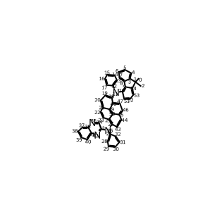 CC1(C)c2ccccc2-c2c(N(c3ccccc3)c3ccc4ccc5c(N(c6ccccc6)c6cnc7ccccc7n6)ccc6ccc3c4c65)cccc21